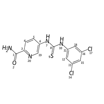 NC(=O)c1ccc(NC(=S)Nc2cc(Cl)cc(Cl)c2)cn1